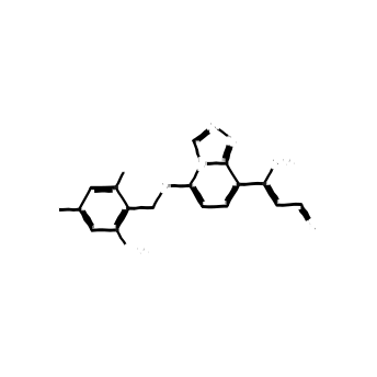 CN/C(=C\C=N)c1ccc(NCc2c(F)cc(F)cc2OC)n2cnnc12